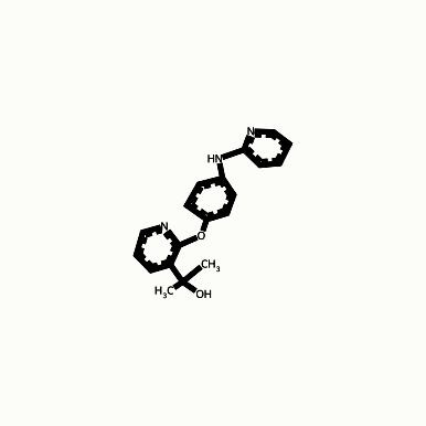 CC(C)(O)c1cccnc1Oc1ccc(Nc2ccccn2)cc1